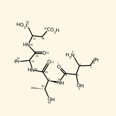 CC(C)CC(N)C(O)C(=O)N[C@H](C(=O)NC(C(=O)NC(CC(=O)O)C(=O)O)C(C)C)[C@@H](C)O